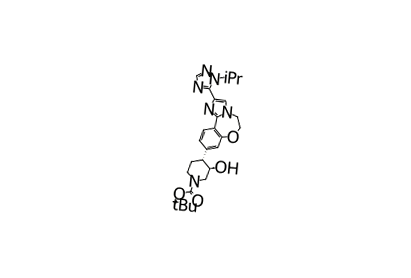 CC(C)n1ncnc1-c1cn2c(n1)-c1ccc([C@H]3CCN(C(=O)OC(C)(C)C)C[C@@H]3O)cc1OCC2